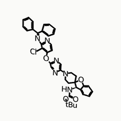 CC(C)(C)OC(=O)N[C@@H]1c2ccccc2OC12CCN(c1cnc(Oc3ccnc(N=C(c4ccccc4)c4ccccc4)c3Cl)cn1)CC2